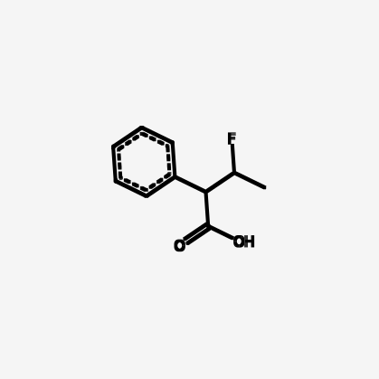 CC(F)C(C(=O)O)c1ccccc1